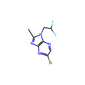 Cc1nc2nc(Br)cnc2n1CC(F)F